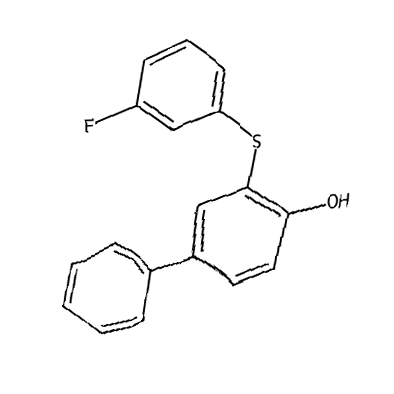 Oc1ccc(-c2ccccc2)cc1Sc1cccc(F)c1